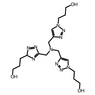 OCCCC1N=NC(CN(Cc2cn(CCCO)nn2)Cc2cn(CCCO)nn2)=N1